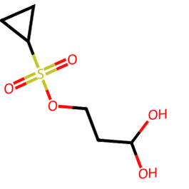 O=S(=O)(OCCC(O)O)C1CC1